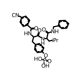 [C-]#[N+]c1ccc(C(=O)NC(Cc2ccc(OP(=O)(O)O)cc2)C(=O)NC(CC(C)C)C(=O)NCc2ccccc2)cc1